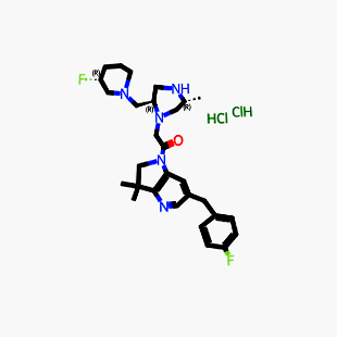 C[C@@H]1CN(CC(=O)N2CC(C)(C)c3ncc(Cc4ccc(F)cc4)cc32)[C@@H](CN2CCC[C@@H](F)C2)CN1.Cl.Cl